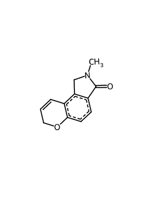 CN1Cc2c(ccc3c2C=CCO3)C1=O